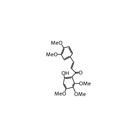 COc1ccc(C=CC(=O)c2c(O)cc(OC)c(OC)c2OC)cc1OC